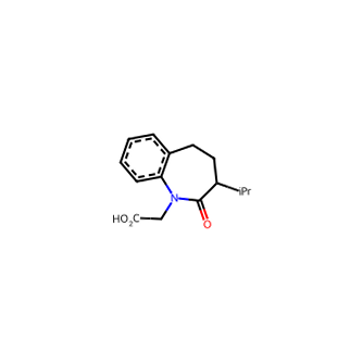 CC(C)C1CCc2ccccc2N(CC(=O)O)C1=O